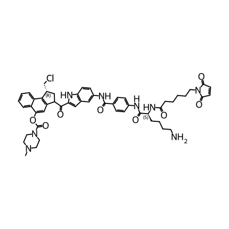 CN1CCN(C(=O)Oc2cc3c(c4ccccc24)[C@H](CCl)CC3C(=O)c2cc3cc(NC(=O)c4ccc(NC(=O)[C@H](CCCCN)NC(=O)CCCCCN5C(=O)C=CC5=O)cc4)ccc3[nH]2)CC1